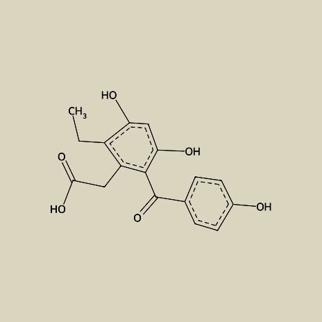 CCc1c(O)cc(O)c(C(=O)c2ccc(O)cc2)c1CC(=O)O